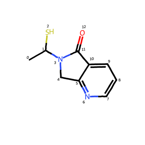 CC(S)N1Cc2ncccc2C1=O